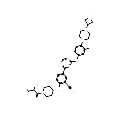 Cc1cc(Nc2ncnc(-c3ccc(O[C@H]4CCN(C(=O)C(O)CO)C[C@H]4F)c(C#N)c3)n2)ccc1N1CCN(C2COC2)CC1